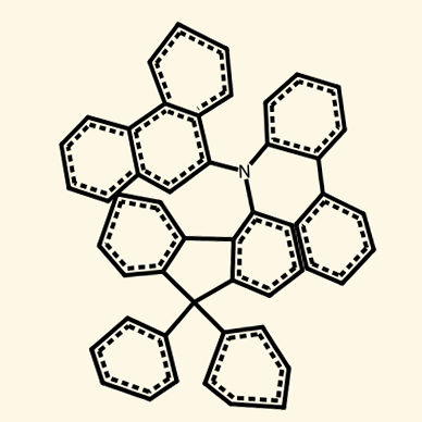 c1ccc(-c2ccccc2N(c2cccc3c2-c2ccccc2C3(c2ccccc2)c2ccccc2)c2cc3ccccc3c3ccccc23)cc1